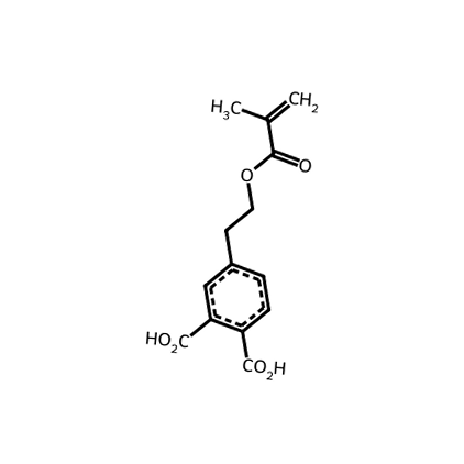 C=C(C)C(=O)OCCc1ccc(C(=O)O)c(C(=O)O)c1